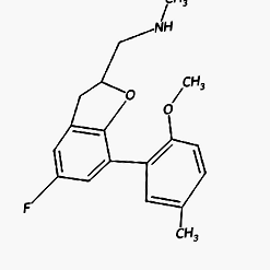 CNCC1Cc2cc(F)cc(-c3cc(C)ccc3OC)c2O1